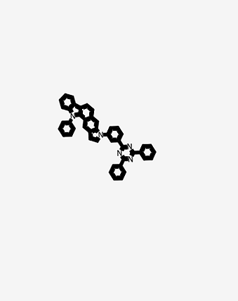 c1ccc(-c2nc(-c3ccccc3)nc(-c3cccc(-n4ccc5cc6c(ccc7c8ccccc8n(-c8ccccc8)c67)cc54)c3)n2)cc1